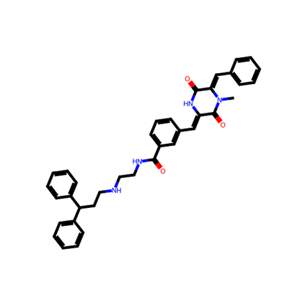 Cn1c(=O)c(=Cc2cccc(C(=O)NCCNCCC(c3ccccc3)c3ccccc3)c2)[nH]c(=O)c1=Cc1ccccc1